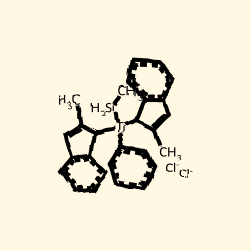 C[SiH2][Ti]([c]1ccccc1)([CH]1C(C)=Cc2ccccc21)[CH]1C(C)=Cc2ccccc21.[Cl-].[Cl-]